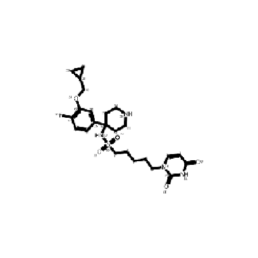 O=c1ccn(CCCCCS(=O)(=O)NC2(c3ccc(F)c(OCC4CC4)c3)CCNCC2)c(=O)[nH]1